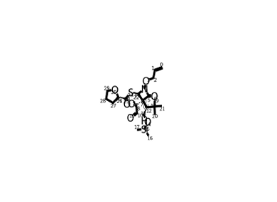 C=CCON1C(=O)[C@@](C(=O)C=O)([C@H](CO[SiH](C)C)C(C)(C)C)[C@H]1SC(=O)[C@H]1CCCO1